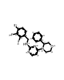 Fc1ccc(CNc2nccc(N3CCOCC3c3ccccc3)n2)c(F)c1F